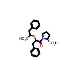 O=C(O)C(Cc1ccccc1)SC(Cc1ccccc1)C(=O)N1CCC[C@H]1C(=O)O